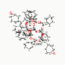 CO[Si]1(c2ccccc2)O[Si](C)(CCC2CCC3OC3C2)O[Si]2(c3ccccc3)O[Si]3(c4ccccc4)O[SiH](c4ccccc4)O[Si]4(c5ccccc5)O[Si](C)(CCC5CCC6OC6C5)O[Si](c5ccccc5)(O3)O[Si](c3ccccc3)(O2)O[Si](c2ccccc2)(O1)O4